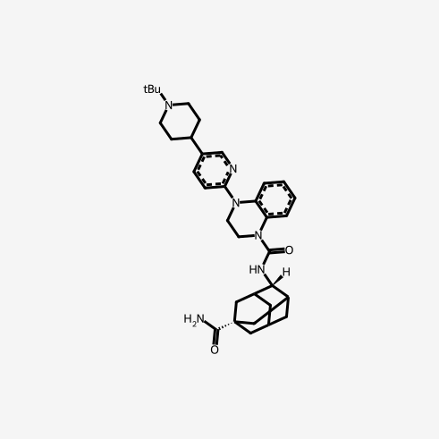 CC(C)(C)N1CCC(c2ccc(N3CCN(C(=O)N[C@H]4C5CC6CC4C[C@@](C(N)=O)(C6)C5)c4ccccc43)nc2)CC1